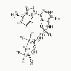 CCS(=O)(=O)Nc1cc(-c2cnc3c(N)nccn23)cnc1F.O=C(O)C(F)(F)F.O=C(O)C(F)(F)F